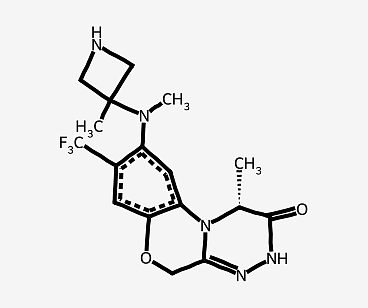 C[C@@H]1C(=O)NN=C2COc3cc(C(F)(F)F)c(N(C)C4(C)CNC4)cc3N21